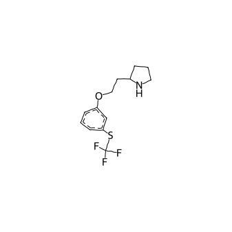 FC(F)(F)Sc1cccc(OCCC2CCCN2)c1